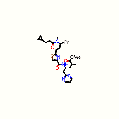 COC(=O)[C@@H](C)C[C@H](Cc1ncccn1)NC(=O)c1csc(CCC(C(C)C)N(C)C(=O)CCC2CC2)n1